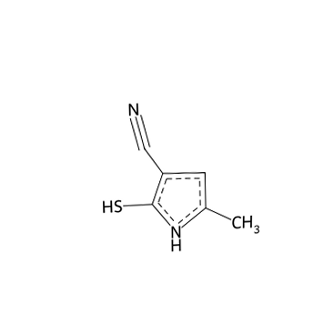 Cc1cc(C#N)c(S)[nH]1